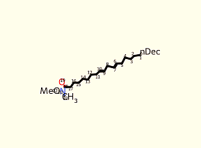 CCCCCCCCCCCCCCCC=CCC=CCCCCCCCC(=O)N(C)OC